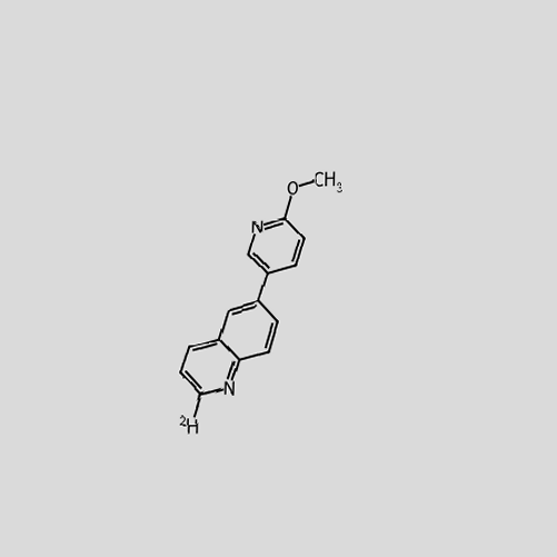 [2H]c1ccc2cc(-c3ccc(OC)nc3)ccc2n1